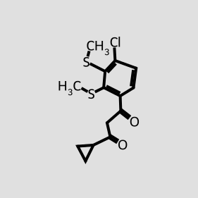 CSc1c(Cl)ccc(C(=O)CC(=O)C2CC2)c1SC